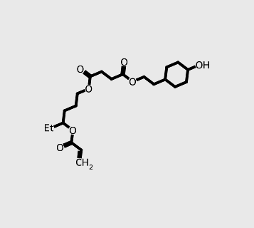 C=CC(=O)OC(CC)CCCOC(=O)CCC(=O)OCCC1CCC(O)CC1